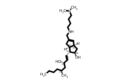 CCCC[C@H](C)C[C@H](O)/C=C/[C@@H]1[C@H]2CC(CNCCCCN(C)C)=C[C@H]2C[C@H]1O